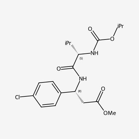 COC(=O)C[C@@H](NC(=O)[C@@H](NC(=O)OC(C)C)C(C)C)c1ccc(Cl)cc1